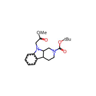 COC(=O)CN1c2ccccc2C2CCN(C(=O)OC(C)(C)C)CC21